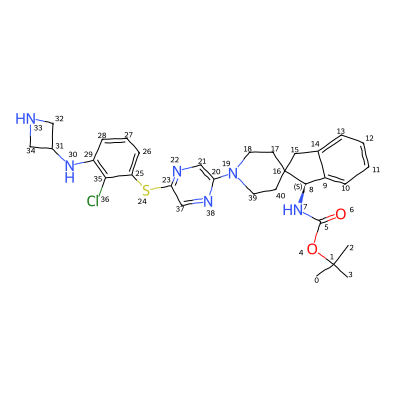 CC(C)(C)OC(=O)N[C@@H]1c2ccccc2CC12CCN(c1cnc(Sc3cccc(NC4CNC4)c3Cl)cn1)CC2